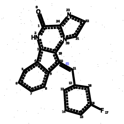 O=c1[nH]c2c3ccccc3/c(=C\c3cccc(F)c3)c2n2ccnc12